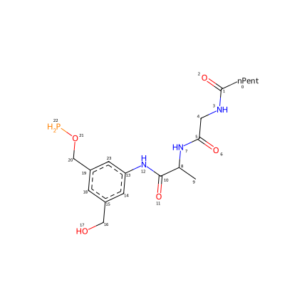 CCCCCC(=O)NCC(=O)NC(C)C(=O)Nc1cc(CO)cc(COP)c1